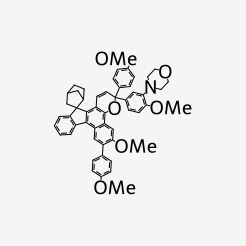 COc1ccc(-c2cc3c4c(c5c(c3cc2OC)OC(c2ccc(OC)cc2)(c2ccc(OC)c(N3CCOCC3)c2)C=C5)C2(CC3CCC2C3)c2ccccc2-4)cc1